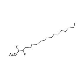 CC(=O)OC(F)C(F)CCCCCCCCCCCCCCF